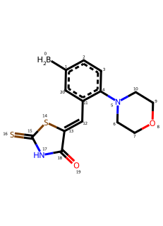 Bc1ccc(N2CCOCC2)c(/C=C2\SC(=S)NC2=O)c1